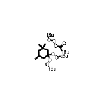 CC1CC(C)(C)CC(OOC(C)(C)C)(OOC(C)(C)C)C1.CCCCC(=O)OOOC(C)(C)C